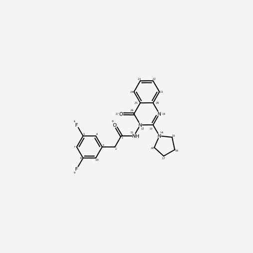 O=C(Cc1cc(F)cc(F)c1)Nn1c(N2CCCC2)nc2ccccc2c1=O